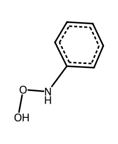 OONc1ccccc1